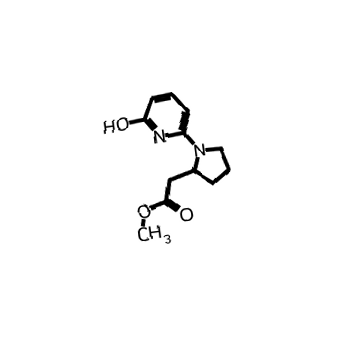 COC(=O)CC1CCCN1c1cccc(O)n1